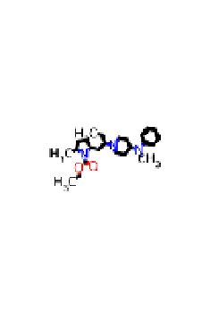 CCOC(=O)N1C(C)CCC1CC(CC)N1CCC(N(C)c2ccccc2)CC1